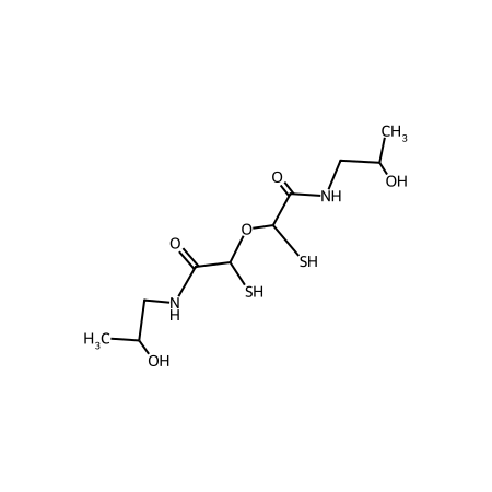 CC(O)CNC(=O)C(S)OC(S)C(=O)NCC(C)O